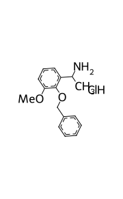 COc1cccc(C(C)N)c1OCc1ccccc1.Cl